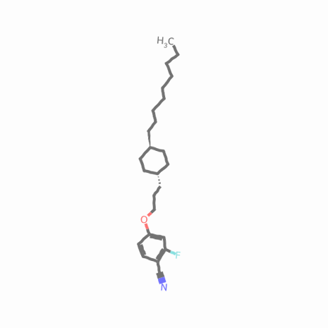 CCCCCCCCC[C@H]1CC[C@H](CCCOc2ccc(C#N)c(F)c2)CC1